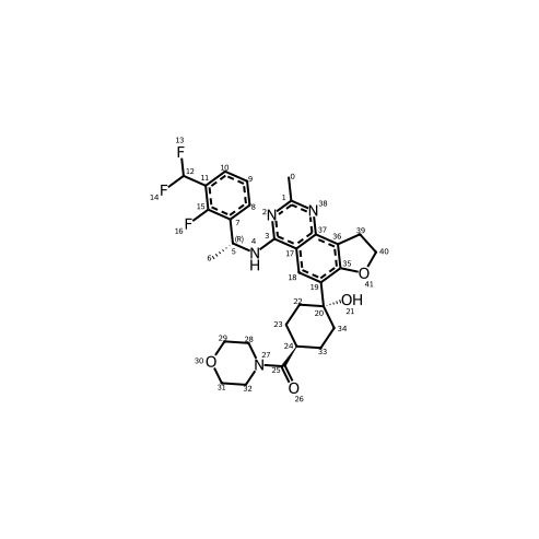 Cc1nc(N[C@H](C)c2cccc(C(F)F)c2F)c2cc([C@]3(O)CC[C@H](C(=O)N4CCOCC4)CC3)c3c(c2n1)CCO3